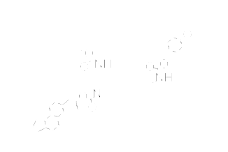 CCCCCC(C)C.COc1ccc(COC(=O)NC(C)(C)CCCCCCCN(CCC(C)(C)NC(=O)OC(C)(C)C)C(=O)OC2=CCc3c(ccc4c5c(ccc34)=CC=C5)=C2)cc1